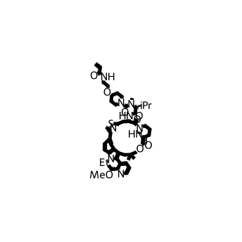 C=CC(=O)NCCOC1CCN(C(=O)N(C)[C@H](C(=O)N[C@H]2Cc3nc(cs3)-c3ccc4c(c3)c(c(-c3cccnc3[C@H](C)OC)n4CC)CC(C)(C)COC(=O)[C@@H]3CCCN(N3)C2=O)C(C)C)CC1